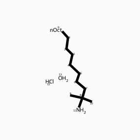 CCCCCCCCCCCCCCCC(C)(C)N.Cl.O